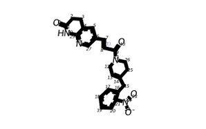 O=C1CCc2cc(/C=C/C(=O)N3CC=C(Cc4ccccc4[N+](=O)[O-])CC3)cnc2N1